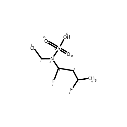 CC(F)CC(F)N(CCl)S(=O)(=O)O